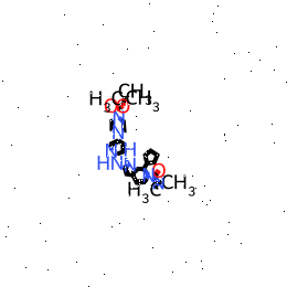 CN(C)C(=O)N1C=Cc2cc(Nc3ccc(N4CCN(C(=O)OC(C)(C)C)CC4)cn3)[nH]c2C1C1CCCC1